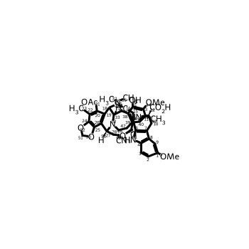 COc1ccc2[nH]c3c(c2c1)C[C@H](C(=O)O)N[C@]31CCSC2c3c(OC(C)=O)c(C)c4c(c3[C@@H](COC1=O)N1[C@H]2[C@H](N(C)C)c2c(cc(C)c(OC)c2O)C[C@@H]1C#N)OCO4